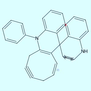 C1#CCC2=C(/C=C\C1)C1(c3ccccc3Nc3ccccc31)c1ccccc1N2c1ccccc1